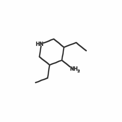 CCC1CNCC(CC)C1N